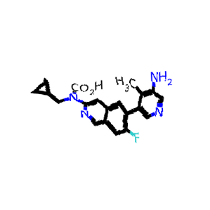 Cc1c(N)cncc1-c1cc2cc(N(CC3CC3)C(=O)O)ncc2cc1F